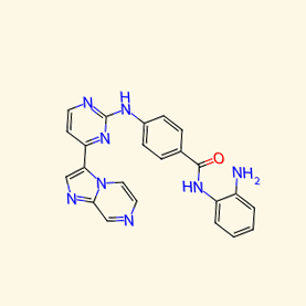 Nc1ccccc1NC(=O)c1ccc(Nc2nccc(-c3cnc4cnccn34)n2)cc1